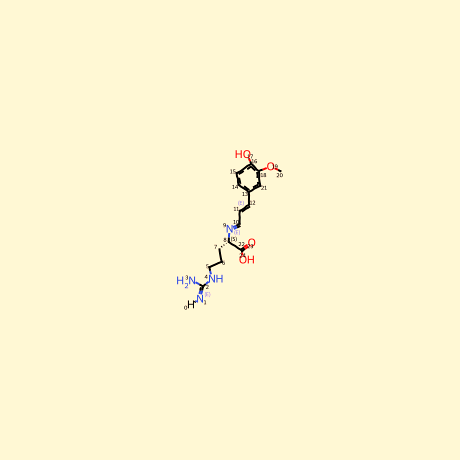 [H]/N=C(\N)NCCC[C@H](/N=C/C=C/c1ccc(O)c(OC)c1)C(=O)O